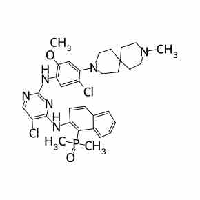 COc1cc(N2CCC3(CCN(C)CC3)CC2)c(Cl)cc1Nc1ncc(Cl)c(Nc2ccc3ccccc3c2P(C)(C)=O)n1